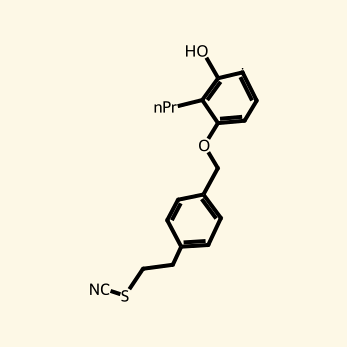 CCCc1c(O)[c]ccc1OCc1ccc(CCSC#N)cc1